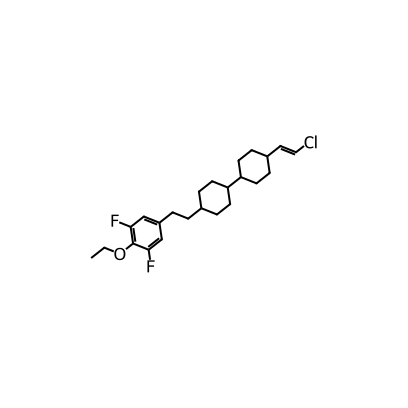 CCOc1c(F)cc(CCC2CCC(C3CCC(/C=C/Cl)CC3)CC2)cc1F